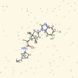 CC(C(=O)NC12CC(C#N)C(C1)C2)[C@H]1[C@@H]2C[C@@H](n3cnc4cc(F)c(F)cc43)C[C@@H]21